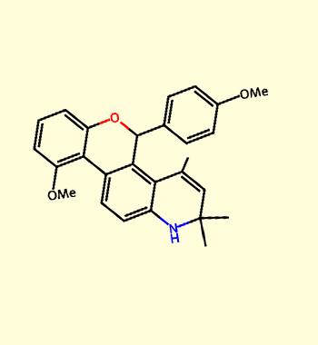 COc1ccc(C2Oc3cccc(OC)c3-c3ccc4c(c32)C(C)=CC(C)(C)N4)cc1